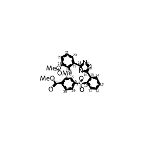 COC(=O)c1ccc(S(=O)(=O)c2ccccc2-c2nc(-c3cccc(OC)c3OC)no2)cc1